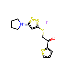 O=C(CSc1cc(=[N+]2CCCC2)ss1)c1cccs1.[I-]